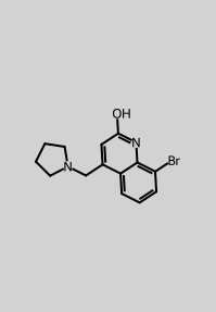 Oc1cc(CN2CCCC2)c2cccc(Br)c2n1